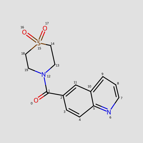 O=C(c1ccc2ncccc2c1)N1CCS(=O)(=O)CC1